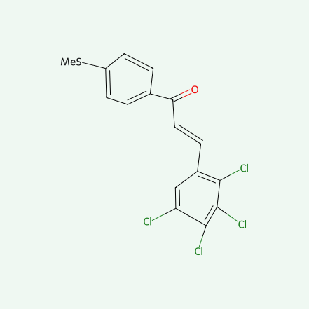 CSc1ccc(C(=O)C=Cc2cc(Cl)c(Cl)c(Cl)c2Cl)cc1